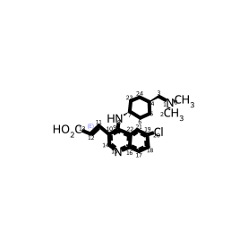 CN(C)C[C@H]1CC[C@H](Nc2c(/C=C/C(=O)O)cnc3ccc(Cl)cc23)CC1